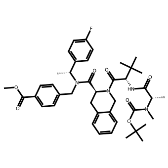 COC(=O)c1ccc(CN(C(=O)[C@@H]2Cc3ccccc3CN2C(=O)[C@@H](NC(=O)[C@H](C)N(C)C(=O)OC(C)(C)C)C(C)(C)C)[C@H](C)c2ccc(F)cc2)cc1